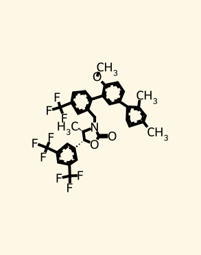 COc1ccc(-c2ccc(C)cc2C)cc1-c1ccc(C(F)(F)F)cc1CN1C(=O)O[C@H](c2cc(C(F)(F)F)cc(C(F)(F)F)c2)[C@@H]1C